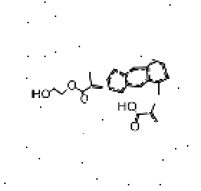 C=C(C)C(=O)O.C=C(C)C(=O)OCCO.Cc1cccc2cc3ccccc3cc12